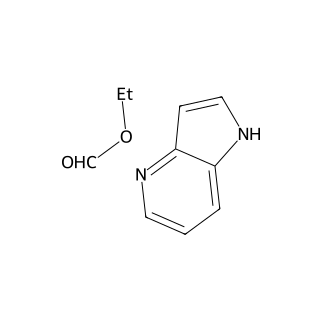 CCOC=O.c1cnc2cc[nH]c2c1